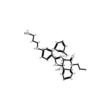 CCCN1C(=O)[C@]2(Cc3ccccc3)N=C(c3ccc(OCCCO)cc3)O[C@@H]2c2ccccc21